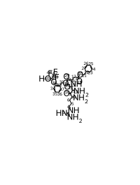 N=C(N)NCCCC(N)C(=O)C(N)C(=O)NC(CC(=O)OCc1ccccc1)C(=O)OCc1ccccc1.O=C(O)C(F)(F)F